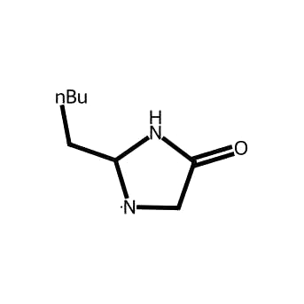 CCCCCC1[N]CC(=O)N1